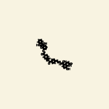 O=C(COc1cccc(C(O)(C(=O)O)c2ccccc2)c1)N1CCC2(CC1)CN(C(=O)c1ccc(CCNCC(O)c3ccc(O)c4[nH]c(=O)ccc34)cc1)C2